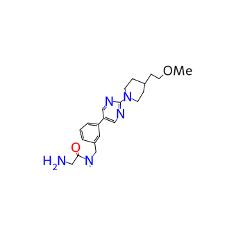 COCCC1CCN(c2ncc(-c3cccc(CN(C)C(=O)CN)c3)cn2)CC1